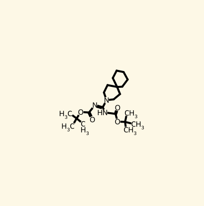 CC(C)(C)OC(=O)/N=C(\NC(=O)OC(C)(C)C)N1CCC2(CCCCC2)CC1